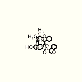 CN[C@@H](C)C(=O)N[C@H](C(=O)N1C[C@H]2C[C@@H](O)CN2C[C@H]1C(=O)N[C@H]1CCOc2ccccc21)C1CCCCC1